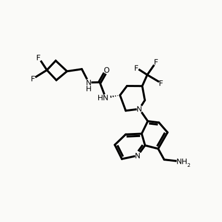 NCc1ccc(N2CC(C(F)(F)F)C[C@@H](NC(=O)NCC3CC(F)(F)C3)C2)c2cccnc12